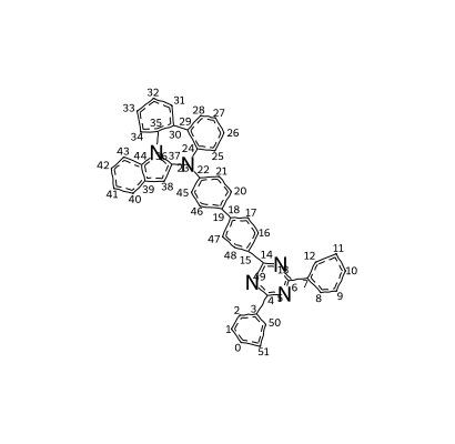 c1ccc(-c2nc(-c3ccccc3)nc(-c3ccc(-c4ccc(N5c6ccccc6-c6ccccc6-n6c5cc5ccccc56)cc4)cc3)n2)cc1